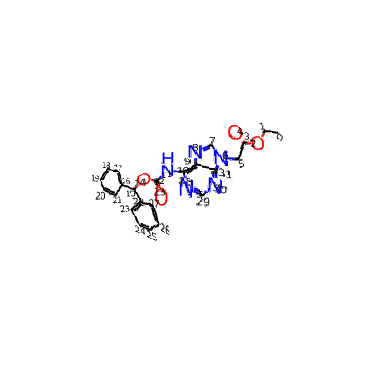 CCOC(=O)Cn1cnc2c(NC(=O)OC(c3ccccc3)c3ccccc3)ncnc21